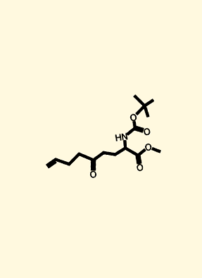 C=CCCC(=O)CCC(NC(=O)OC(C)(C)C)C(=O)OC